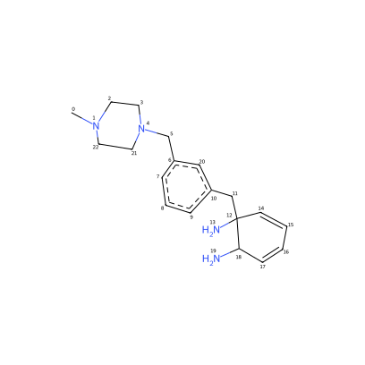 CN1CCN(Cc2cccc(CC3(N)C=CC=CC3N)c2)CC1